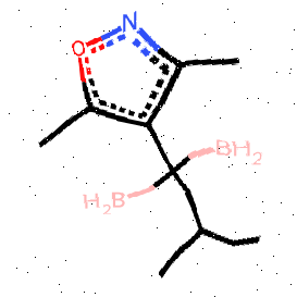 BC(B)(c1c(C)noc1C)C(C)C